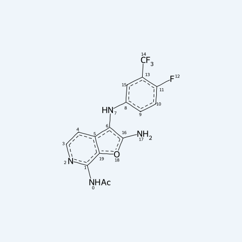 CC(=O)Nc1nccc2c(Nc3ccc(F)c(C(F)(F)F)c3)c(N)oc12